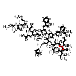 CC[C@@H](C)[C@H](NC(=O)[C@H](CC(N)=O)NC(=O)[C@H](CC(N)=O)NC(=O)[C@@H](NC(=O)[C@@H](N)CCCNC(=N)N)[C@@H](C)CC)C(=O)N1C[C@@H](n2cc(-[c-]3cccc3)nn2)C[C@H]1C(=O)N[C@@H](Cc1c[nH]c2ccccc12)C(=O)N[C@@H](CO)C(=O)N[C@@H](CCC(=O)O)C(=O)N[C@H](C=O)CN[C@@H](CCSC)C(=O)N[C@@H](CCSC)C(N)=O.[Fe+2].c1cc[cH-]c1